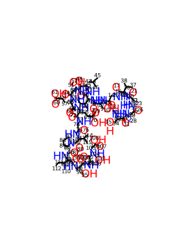 CC[C@H](C)[C@H](NC(=O)[C@H](CO)NC(=O)CNC(=O)[C@@H](NC(=O)[C@H](C)NC(=O)[C@H](C)NC(=O)[C@@H](N)CO)C(C)C)C(=O)N[C@@H](CC(C)C)C(=O)N[C@@H](CO)C(=O)N[C@@H](CCC(=O)O)C(=O)N[C@@H](CCC(=O)O)C(=O)NCC(=O)N[C@H](C(=O)N1CCC[C@H]1C(=O)N[C@H](C(=O)N[C@@H](CO)C(=O)N[C@@H](CO)C(=O)NCC(=O)O)[C@@H](C)CC)C(C)C